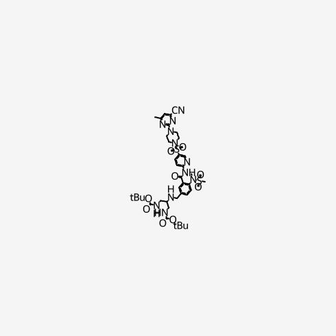 Cc1cc(C#N)nc(N2CCN(S(=O)(=O)c3ccc(NC(=O)c4cc(CNC(CNC(=O)OC(C)(C)C)CNC(=O)OC(C)(C)C)ccc4N(C)S(C)(=O)=O)nc3)CC2)n1